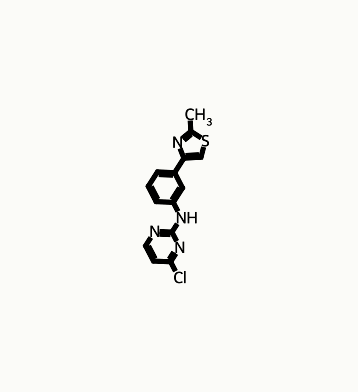 Cc1nc(-c2cccc(Nc3nccc(Cl)n3)c2)cs1